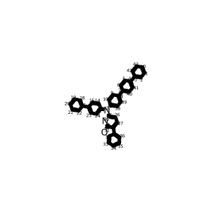 c1ccc(-c2ccc(-c3ccc(N(c4ccc(-c5ccccc5)cc4)c4ccc5c(n4)oc4ccccc45)cc3)cc2)cc1